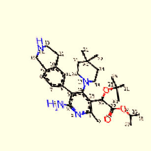 Cc1nc(N)c(-c2ccc3c(c2)CCNC3)c(N2CCC(C)(C)CC2)c1C(OC(C)(C)C)C(=O)OC(C)C